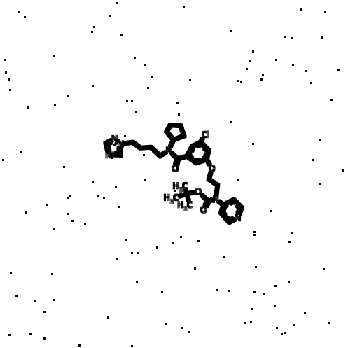 CC(C)(C)OC(=O)N(CCOc1cc(Cl)cc(C(=O)N(CCCCn2cncn2)C2CCCC2)c1)c1ccncc1